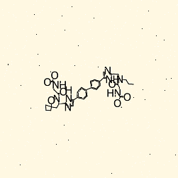 CCCN(Cc1ncc(-c2ccc(-c3ccc(-c4cnc([C@H]5CC6(CCC6)ON5C(=O)CNC(=O)OC)[nH]4)cc3)cc2)[nH]1)C(=O)CNC(=O)OC